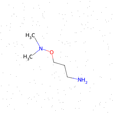 CN(C)OCCCN